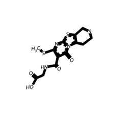 CSc1nc2sc3c(n2c(=O)c1C(=O)NCC(=O)O)CCSC3